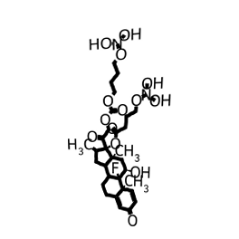 CC1CC2C3CCC4=CC(=O)C=C[C@]4(C)[C@@]3(F)[C@@H](O)C[C@]2(C)[C@@]1(OC(=O)CCCON(O)O)C(=O)COC(=O)OCCCCON(O)O